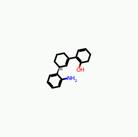 Nc1ccccc1[C@@H]1C=C(C2=C(O)CCC=C2)CCC1